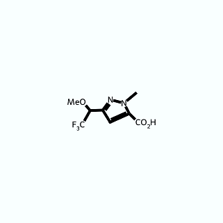 COC(c1cc(C(=O)O)n(C)n1)C(F)(F)F